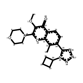 COc1c(N2CCOCC2)oc2c(C)c(-c3nnnn3C3CCC3)ccc2c1=O